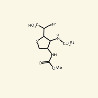 CCCC(C(=O)O)C1SCC(NC(=O)OC)C1NC(=O)OCC